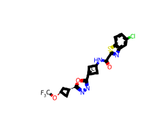 O=C(NC12CC(c3nnc([C@H]4C[C@@H](OC(F)(F)F)C4)o3)(C1)C2)c1nc2cc(Cl)ccc2s1